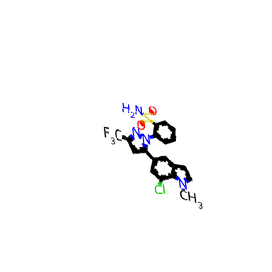 Cn1ccc2cc(-c3cc(C(F)(F)F)nn3-c3ccccc3S(N)(=O)=O)cc(Cl)c21